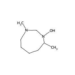 CC1CCCCN(C)CN1O